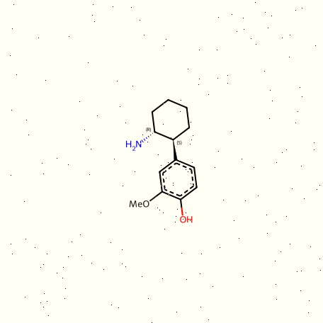 COc1cc([C@@H]2CCCC[C@H]2N)ccc1O